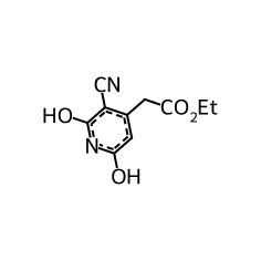 CCOC(=O)Cc1cc(O)nc(O)c1C#N